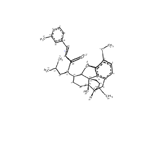 COc1ccc2c3c1OC1C(N(CC(C)C)C(=O)/C=C/c4cccc(C)c4)CC[C@@]4(O)[C@@H](C2)N(C)CC[C@]314